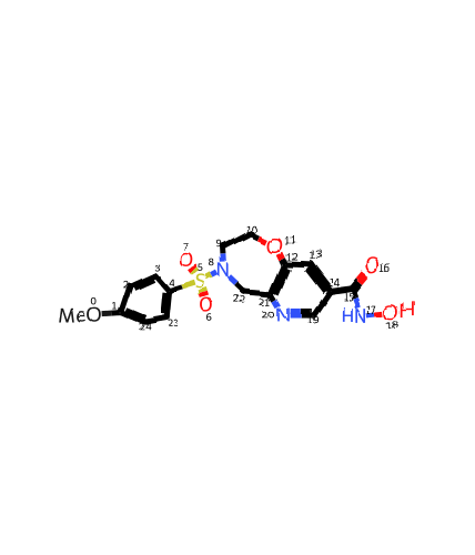 COc1ccc(S(=O)(=O)N2CCOc3cc(C(=O)NO)cnc3C2)cc1